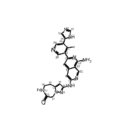 Cc1c(-c2cc3cc(Nc4cc5n(n4)CC(=O)NCC5)ncc3c(N)n2)cncc1-c1cnc[nH]1